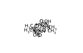 CCN(C)c1nc(O)nc(N(Nc2ccccc2)C(=C(c2ccccc2)N(Nc2ccccc2)c2nc(O)nc(N(C)CC)n2)c2ccccc2)n1